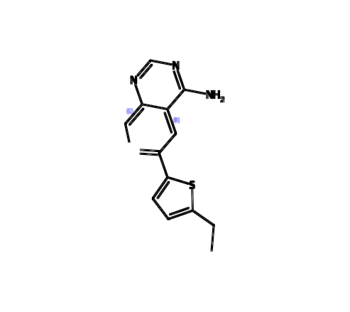 C=C(/C=c1/c(N)ncn/c1=C/C)c1ccc(CC)s1